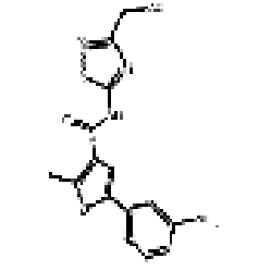 CC(=O)Cc1nsc(NC(=O)c2cc(-c3cccc([N+](=O)[O-])c3)oc2C)n1